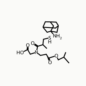 CC(C)COC(=O)CCN(CC(=O)O)C(=O)C(C)CS.NC12CC3CC(CC(C3)C1)C2